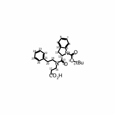 CC(C)(C)OC(=O)N1c2ccccc2C[C@@H]1C(=O)N(CCC(=O)O)CCc1ccccc1